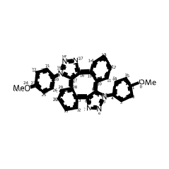 COc1ccc(-n2nnc3/c2=c2/cccc/c2=c2\nnn(-c4ccc(OC)cc4)\c2=c2/cccc/c2=3)cc1